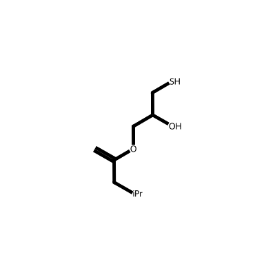 C=C(CC(C)C)OCC(O)CS